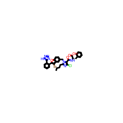 CCCCc1nc(Cl)c(C(=O)N[C@@H](Cc2ccccc2)C(=O)O)n1Cc1ccc2oc(-c3ccccc3-c3nnn[nH]3)c(Br)c2c1